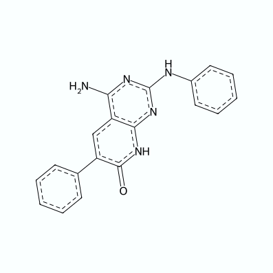 Nc1nc(Nc2ccccc2)nc2[nH]c(=O)c(-c3ccccc3)cc12